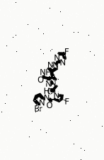 NC(=O)c1nn(CC(=O)N2C[C@H](F)C[C@H]2C(=O)Nc2cccc(Br)n2)cc1-c1cnn(-c2ncc(F)cn2)c1